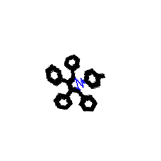 Cc1ccc(-n2c(-c3ccccc3)c(-c3ccccc3)c(-c3ccccc3)c2-c2ccccc2)cc1